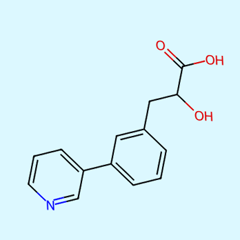 O=C(O)C(O)Cc1cccc(-c2cccnc2)c1